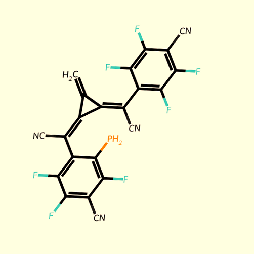 C=C1C(=C(/C#N)c2c(F)c(F)c(C#N)c(F)c2F)/C1=C(/C#N)c1c(F)c(F)c(C#N)c(F)c1P